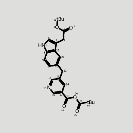 CC(C)(C)OC(=O)Cc1c[nH]c2ccc(Cc3cncc(C(=O)OC(=O)C(C)(C)C)c3)cc12